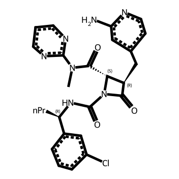 CCC[C@@H](NC(=O)N1C(=O)[C@H](Cc2ccnc(N)c2)[C@H]1C(=O)N(C)c1ncccn1)c1cccc(Cl)c1